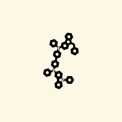 c1ccc(CC2c3ccccc3-c3cc(N(c4ccccc4)c4ccc(-c5ccc(N(c6ccccc6)c6ccc7c(c6)c6ccccc6n7-c6ccccc6)cc5)cc4)ccc32)cc1